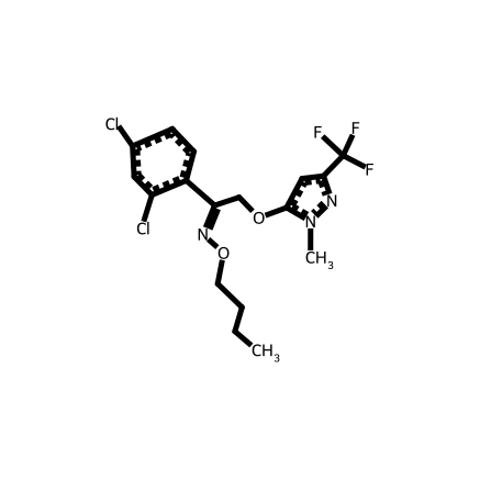 CCCCO/N=C(\COc1cc(C(F)(F)F)nn1C)c1ccc(Cl)cc1Cl